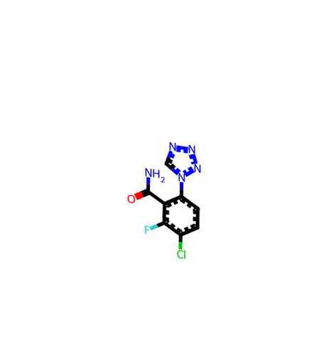 NC(=O)c1c(-n2cnnn2)ccc(Cl)c1F